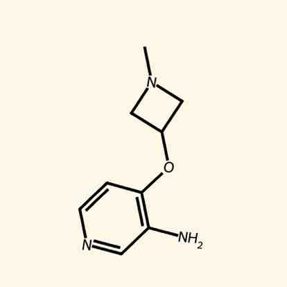 CN1CC(Oc2ccncc2N)C1